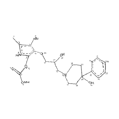 CCCCc1c(C)[nH]c(OC(=O)OC)c1OCC(O)CN1CCC(O)(c2ccccn2)CC1